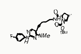 CNc1nc(Nc2ccc(F)cc2)ncc1C#CCCCNC(=O)[C@@H]1C[C@H](C)CN1C(=O)OC(C)(C)C